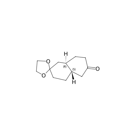 O=C1CC[C@@H]2CC3(CC[C@H]2C1)OCCO3